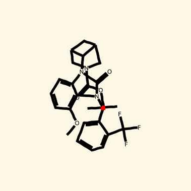 COc1cccc2c1n(Cc1ccccc1C(F)(F)F)c(=O)n2C1C2CC1CN(C(=O)OC(C)(C)C)C2